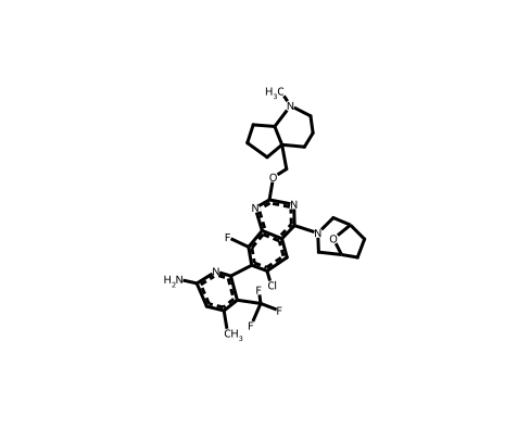 Cc1cc(N)nc(-c2c(Cl)cc3c(N4CC5CCC(C4)O5)nc(OCC45CCCC4N(C)CCC5)nc3c2F)c1C(F)(F)F